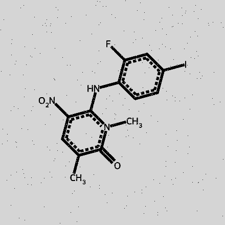 Cc1cc([N+](=O)[O-])c(Nc2ccc(I)cc2F)n(C)c1=O